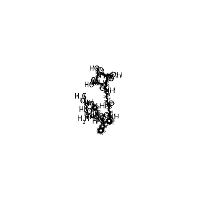 CCC(=O)NCCNC(=O)/N=C(/N)NCCC[C@@H](NC(=O)[C@@H](c1cccc(NC(=O)CCCNC(=O)CCCCCNC(=O)CN2CCN(CC(=O)O)CCN(CC(=O)O)CCN(CC(=O)O)CC2)c1)N1Cc2ccccc2C1)C(=O)NCc1ccc(O)cc1